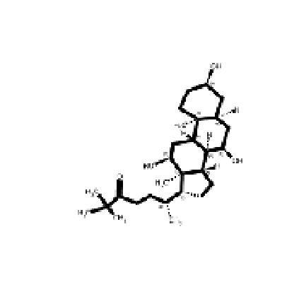 C[C@H](CCC(=O)C(C)(C)C)[C@H]1CC[C@H]2[C@@H]3[C@H](O)C[C@@H]4C[C@H](O)CC[C@]4(C)[C@H]3C[C@H](O)[C@]12C